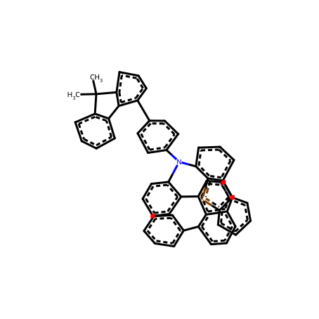 CC1(C)c2ccccc2-c2c(-c3ccc(N(c4ccccc4-c4cccc5cccc(-c6ccccc6)c45)c4cccc5c4sc4ccccc45)cc3)cccc21